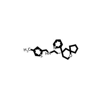 Cc1csc(CNCC[C@@]2(c3ccccn3)CCOC3(CCCC3)C2)c1